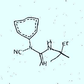 CCC(C)(C)NC(=N)N(C#N)c1ccccc1